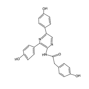 O=C(Cc1ccc(O)cc1)Nc1ncc(-c2ccc(O)cc2)nc1-c1ccc(O)cc1